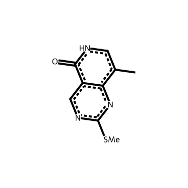 CSc1ncc2c(=O)[nH]cc(C)c2n1